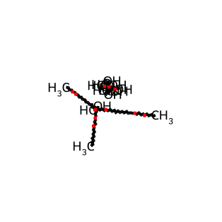 CCCCCCCCCCCCCCCCCCCCCCCCCCCCC(O)C(O)(CCCCCCCCCCCCCCCCCC)CCCCCCCCCCCCCCCCCC.OC[C@@H](O)[C@@H](O)[C@H](OP(O)O)[C@H](COP(O)O)OP(O)O